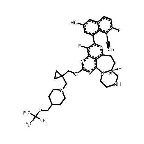 C#Cc1c(F)ccc2cc(O)cc(-c3nc4c5c(nc(OCC6(CN7CCC(COC(C(F)(F)F)(C(F)(F)F)C(F)(F)F)CC7)CC6)nc5c3F)N3CCNC[C@H]3CC4)c12